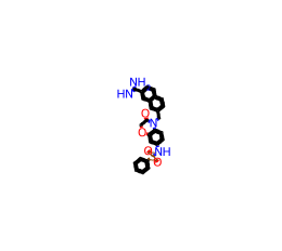 N=C(N)c1ccc2ccc(CN3C(=O)COc4cc(NS(=O)(=O)c5ccccc5)ccc43)cc2c1